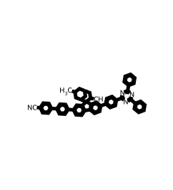 CC1CC2CC(C)C3(c4cc(-c5ccc(-c6ccc(C#N)cc6)cc5)ccc4-c4ccc(-c5ccc(-c6nc(-c7ccccc7)nc(-c7ccccc7)n6)cc5)cc43)C(C1)C2